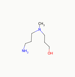 CN(CCCN)CCCO